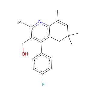 CC1=CC(C)(C)Cc2c1nc(C(C)C)c(CO)c2-c1ccc(F)cc1